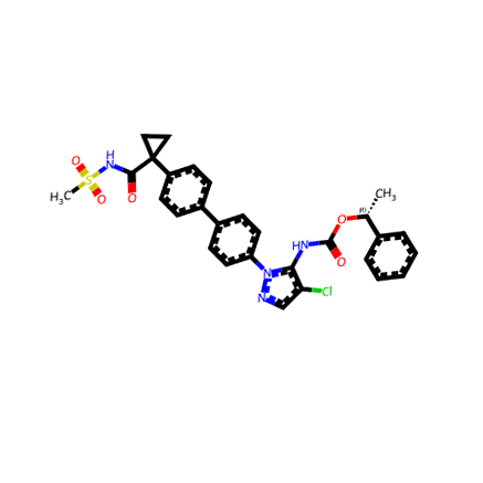 C[C@@H](OC(=O)Nc1c(Cl)cnn1-c1ccc(-c2ccc(C3(C(=O)NS(C)(=O)=O)CC3)cc2)cc1)c1ccccc1